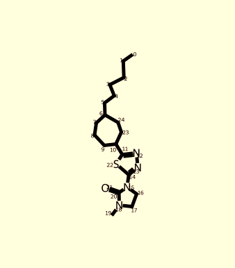 CCCCCCC1CCCC(c2nnc(N3CCN(C)C3=O)s2)CC1